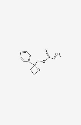 C=CC(=O)OCC1(c2ccccc2)CCO1